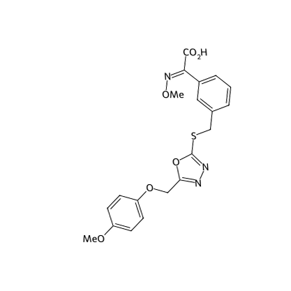 CO/N=C(/C(=O)O)c1cccc(CSc2nnc(COc3ccc(OC)cc3)o2)c1